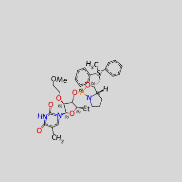 CC[C@H]1O[C@@H](n2cc(C)c(=O)[nH]c2=O)[C@@H](OCCOC)C1O[P@]1O[C@H](C[Si](C)(c2ccccc2)c2ccccc2)[C@@H]2CCCN21